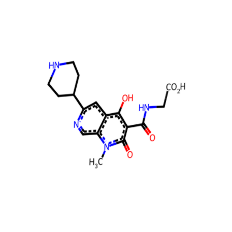 Cn1c(=O)c(C(=O)NCC(=O)O)c(O)c2cc(C3CCNCC3)ncc21